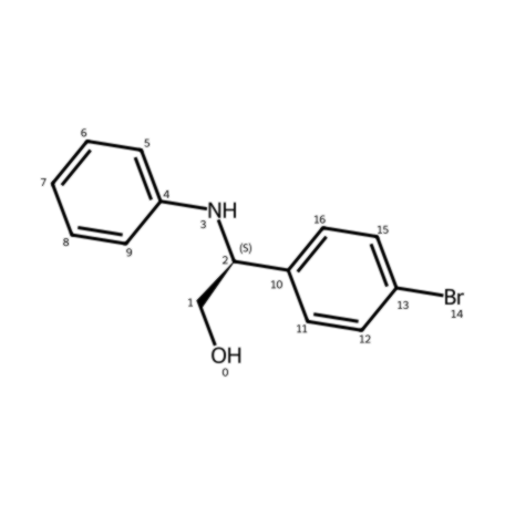 OC[C@@H](Nc1ccccc1)c1ccc(Br)cc1